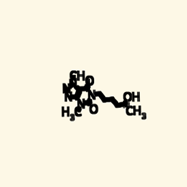 C[C@@H](O)CCCCn1c(=O)c2c(nnn2C)n(C)c1=O